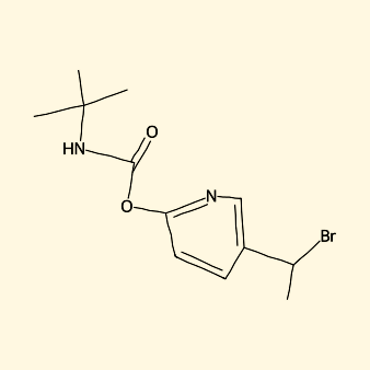 CC(Br)c1ccc(OC(=O)NC(C)(C)C)nc1